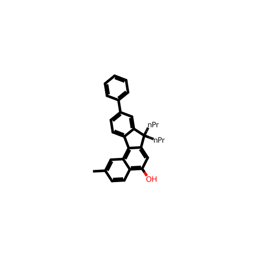 CCCC1(CCC)c2cc(-c3ccccc3)ccc2-c2c1cc(O)c1ccc(C)cc21